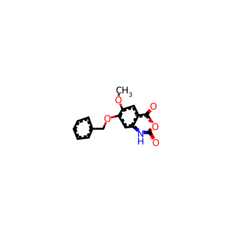 COc1cc2c(=O)oc(=O)[nH]c2cc1OCc1ccccc1